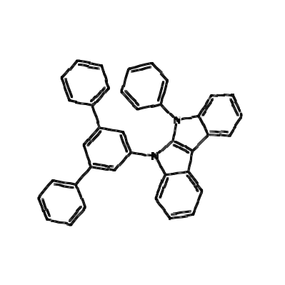 c1ccc(-c2cc(-c3ccccc3)cc(-n3c4ccccc4c4c5ccccc5n(-c5ccccc5)c43)c2)cc1